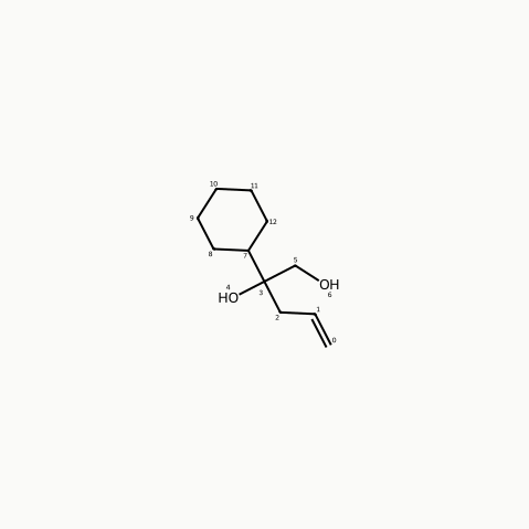 C=CCC(O)(CO)C1CCCCC1